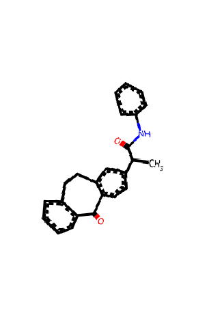 CC(C(=O)Nc1ccccc1)c1ccc2c(c1)CCc1ccccc1C2=O